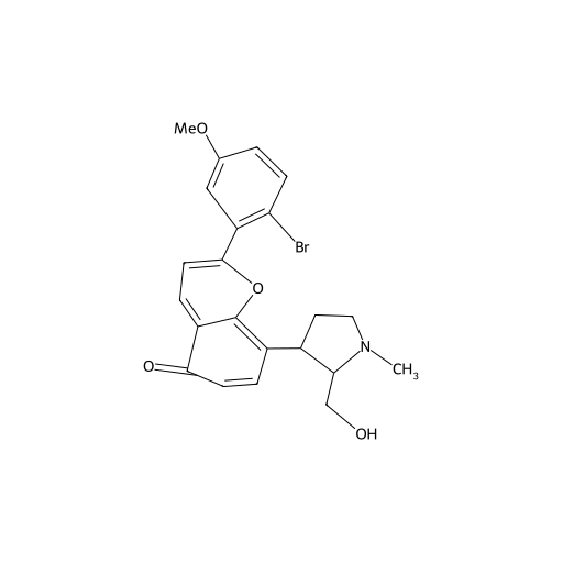 COc1ccc(Br)c(-c2ccc3c(=O)ccc(C4CCN(C)C4CO)c-3o2)c1